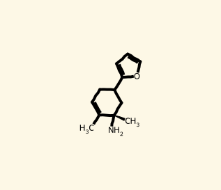 CC1=CCC(c2ccco2)C[C@]1(C)N